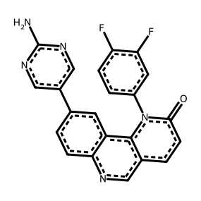 Nc1ncc(-c2ccc3ncc4ccc(=O)n(-c5ccc(F)c(F)c5)c4c3c2)cn1